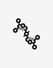 Cc1cc(-c2ccc3ccc4c(-c5ccccc5)cc(-c5ccccc5)nc4c3n2)c(C)cc1-c1ccc2ccc3c(-c4ccccc4)cc(-c4ccccc4)nc3c2n1